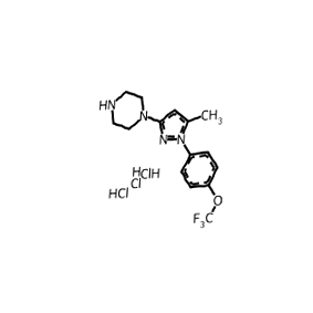 Cc1cc(N2CCNCC2)nn1-c1ccc(OC(F)(F)F)cc1.Cl.Cl.Cl